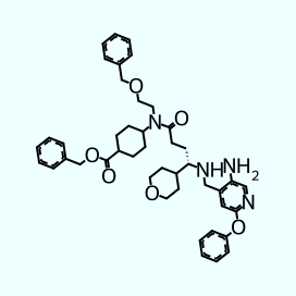 Nc1cnc(Oc2ccccc2)cc1CN[C@@H](CCC(=O)N(CCOCc1ccccc1)C1CCC(C(=O)OCc2ccccc2)CC1)C1CCOCC1